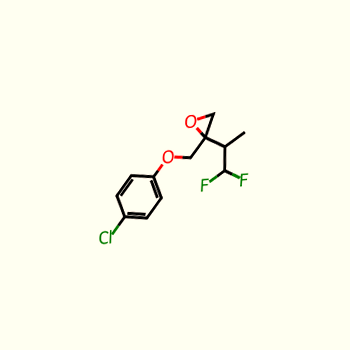 CC(C(F)F)C1(COc2ccc(Cl)cc2)CO1